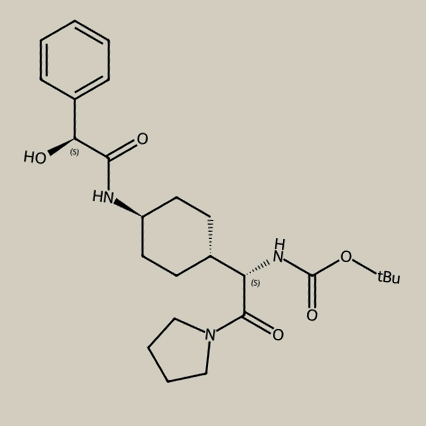 CC(C)(C)OC(=O)N[C@H](C(=O)N1CCCC1)[C@H]1CC[C@H](NC(=O)[C@@H](O)c2ccccc2)CC1